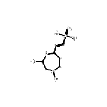 BC1CN(C)CCC(/C=C/P(=C)(O)O)O1